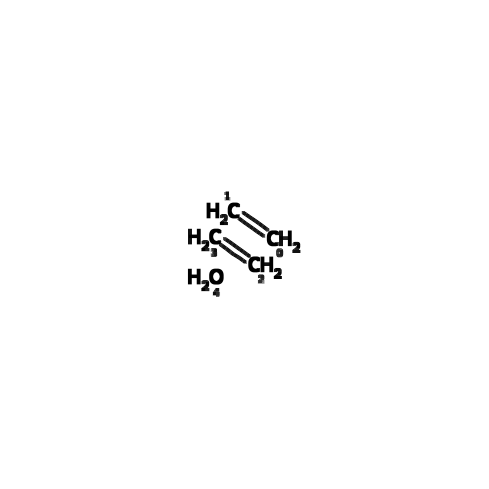 C=C.C=C.O